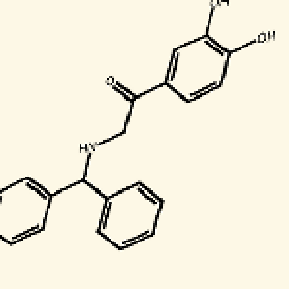 O=C(CNC(c1ccccc1)c1ccccc1)c1ccc(O)c(O)c1